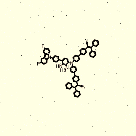 N#CC(=C(c1ccccc1)c1ccccc1)c1ccc(-c2ccc(N(C3=CC=C(c4ccc(-n5c6ccc(F)cc6c6cc(F)ccc65)cc4)C(=N)/C3=N\S)c3ccc(-c4ccc(C(C#N)=C(c5ccccc5)c5ccccc5)cc4)cc3)cc2)cc1